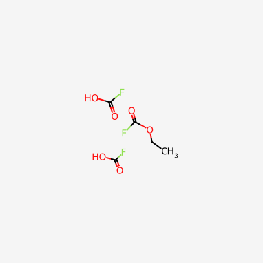 CCOC(=O)F.O=C(O)F.O=C(O)F